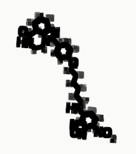 O=C1NCCn2c(-c3ccc(OCCCCCCNc4ccc([N+](=O)[O-])c5nonc45)cc3)nc3cccc1c32